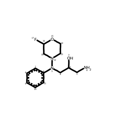 NCC(O)CN(c1ccccc1)N1CCOC(F)C1